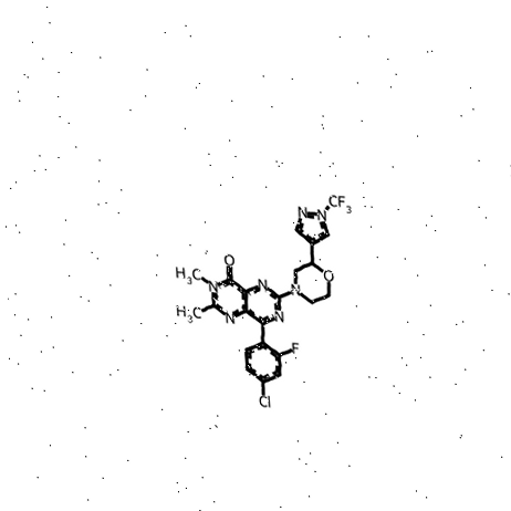 Cc1nc2c(-c3ccc(Cl)cc3F)nc(N3CCOC(c4cnn(C(F)(F)F)c4)C3)nc2c(=O)n1C